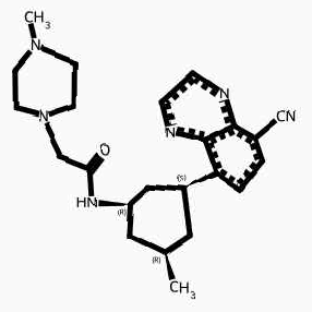 C[C@H]1C[C@@H](NC(=O)CN2CCN(C)CC2)C[C@@H](c2ccc(C#N)c3nccnc23)C1